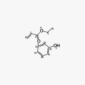 C=CC(=O)OCC.Oc1ccccc1